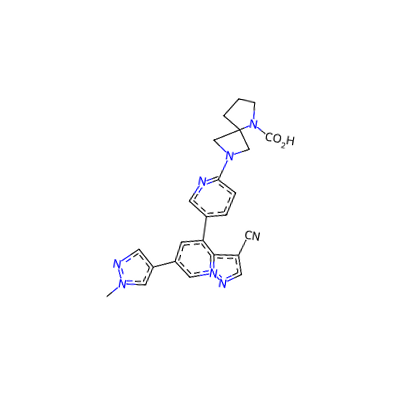 Cn1cc(-c2cc(-c3ccc(N4CC5(CCCN5C(=O)O)C4)nc3)c3c(C#N)cnn3c2)cn1